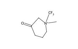 C[N+]1(C(F)(F)F)CCCC(=O)C1